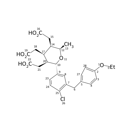 CCOc1ccc(Cc2cc([C@H]3O[C@H](C)[C@H](CC(=O)O)[C@H](CC(=O)O)[C@@H]3CC(=O)O)ccc2Cl)cc1